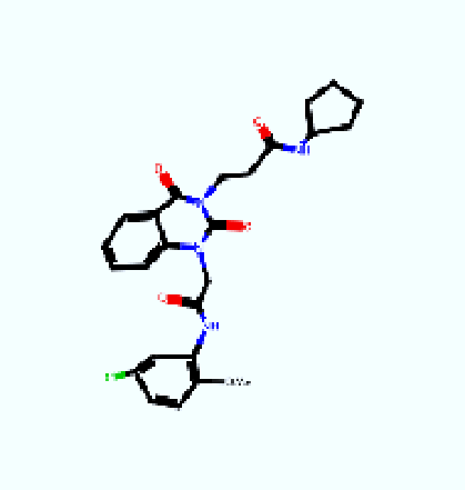 COc1ccc(Cl)cc1NC(=O)Cn1c(=O)n(CCC(=O)NC2CCCC2)c(=O)c2ccccc21